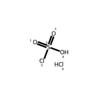 Cl.O=S(=O)(O)Cl